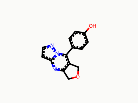 Oc1ccc(-c2c3c(nc4ccnn24)COC3)cc1